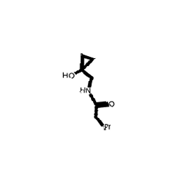 CC(C)CC(=O)NCC1(O)CC1